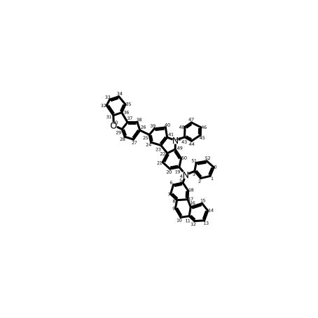 c1ccc(N(c2ccc3ccc4ccccc4c3c2)c2ccc3c4cc(-c5ccc6oc7ccccc7c6c5)ccc4n(-c4ccccc4)c3c2)cc1